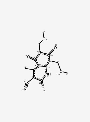 COCn1c(=O)c2c(C)c(C#N)c(=O)[nH]c2n(COC)c1=O